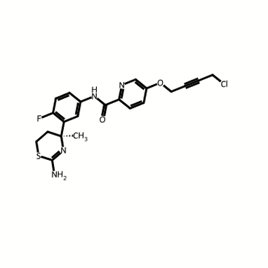 C[C@@]1(c2cc(NC(=O)c3ccc(OCC#CCCl)cn3)ccc2F)CCSC(N)=N1